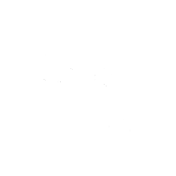 CC1(C)CCC(C)(C)c2cc(-n3c4ccccc4c4c5c6ccccc6n(-c6nc(-c7ccccc7)nc7c6oc6ccccc67)c5ccc43)ccc21